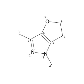 Cc1nn(C)c2c1OCC2